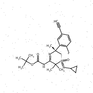 C#Cc1ccc(F)c([C@]2(C)C[S@](=O)(=NC3CC3)C(C)(C)C(NC(=O)OC(C)(C)C)=N2)c1